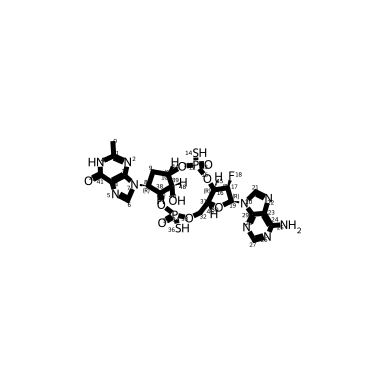 Cc1nc2c(ncn2[C@@H]2C[C@@H]3OP(=O)(S)O[C@H]4[C@@H](F)[C@H](n5cnc6c(N)ncnc65)O[C@@H]4COP(=O)(S)O[C@@H]2[C@@H]3O)c(=O)[nH]1